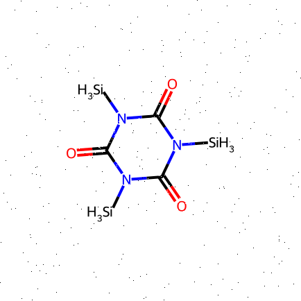 O=c1n([SiH3])c(=O)n([SiH3])c(=O)n1[SiH3]